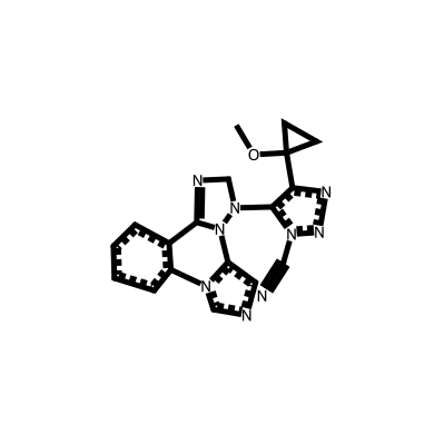 COC1(c2nnn(C#N)c2N2CN=C3c4ccccc4-n4cncc4N32)CC1